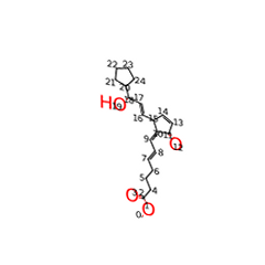 COC(=O)CCCC=CC=C1C(=O)C=CC1C=CC(O)C1CCCC1